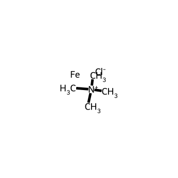 C[N+](C)(C)C.[Cl-].[Fe]